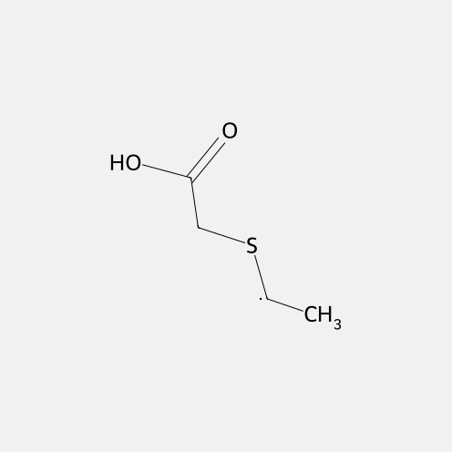 C[CH]SCC(=O)O